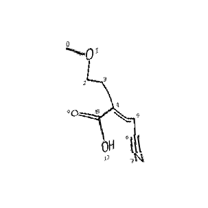 COCCC(=CC#N)C(=O)O